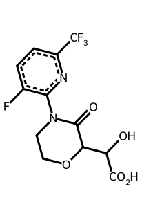 O=C(O)C(O)C1OCCN(c2nc(C(F)(F)F)ccc2F)C1=O